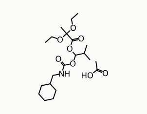 CC(=O)O.CCOC(C)(OCC)C(=O)OC(OC(=O)NCC1CCCCC1)C(C)C